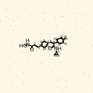 O=C(C=Cc1ccc(C=C(C(=O)NC2CC2)c2ccc(F)cc2)cc1)NO